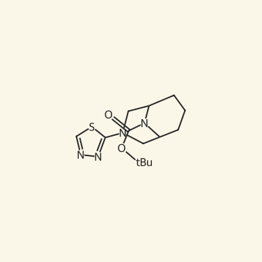 CC(C)(C)OC(=O)N1C2CCCC1CN(c1nncs1)C2